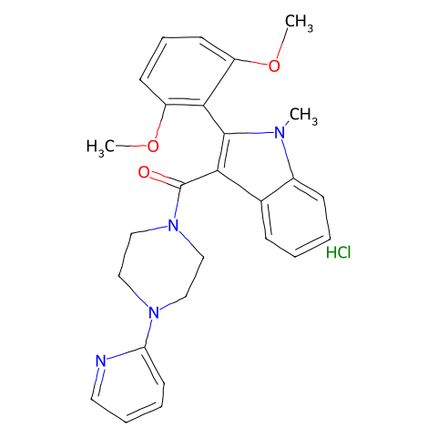 COc1cccc(OC)c1-c1c(C(=O)N2CCN(c3ccccn3)CC2)c2ccccc2n1C.Cl